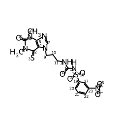 Cn1c(=S)c2c(ncn2CCCNC(=O)NS(=O)(=O)c2cccc([N+](=O)[O-])c2)n(C)c1=O